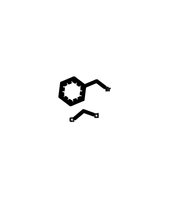 BrCc1ccccc1.ClCCl